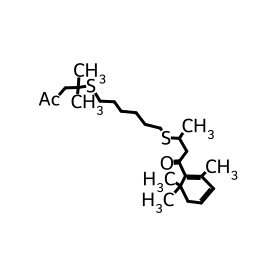 CC(=O)CC(C)(C)SCCCCCCSC(C)CC(=O)C1=C(C)C=CCC1(C)C